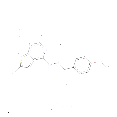 COc1ccc(CCNc2ncnc3sc(Br)cc23)cc1